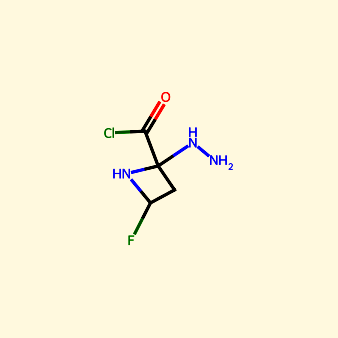 NNC1(C(=O)Cl)CC(F)N1